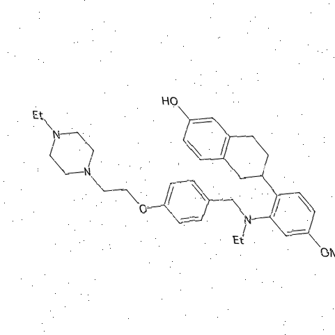 CCN1CCN(CCOc2ccc(CN(CC)c3cc(OC)ccc3C3CCc4cc(O)ccc4C3)cc2)CC1